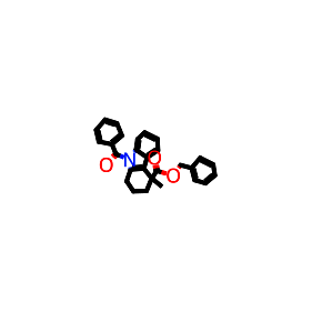 CC1(C(=O)OCc2ccccc2)CCCc2c1c1ccccc1n2C(=O)c1ccccc1